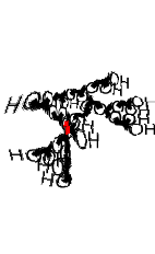 CCC(O)COCC(COCC(O)CO)OCC(COC(COCC(O)CO)COCC(O)CO)OC[C@@H](C)COC(COC(COCC(O)CO)COCC(O)CO)COC(COCC(O)CO)COCC(O)CO